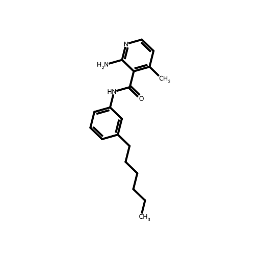 CCCCCCc1cccc(NC(=O)c2c(C)ccnc2N)c1